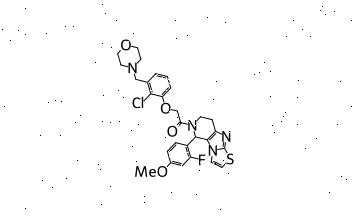 COc1ccc(C2c3c(nc4sccn34)CCN2C(=O)COc2cccc(CN3CCOCC3)c2Cl)c(F)c1